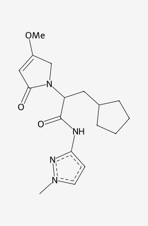 COC1=CC(=O)N(C(CC2CCCC2)C(=O)Nc2ccn(C)n2)C1